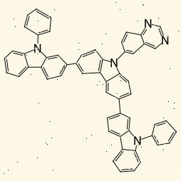 c1ccc(-n2c3ccccc3c3ccc(-c4ccc5c(c4)c4cc(-c6ccc7c8ccccc8n(-c8ccccc8)c7c6)ccc4n5-c4ccc5ncncc5c4)cc32)cc1